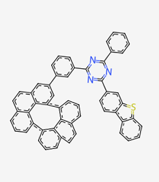 c1ccc(-c2nc(-c3cccc(-c4cc5ccc6cccc7c8cccc9ccc%10cccc(c(c4)c5c67)c%10c98)c3)nc(-c3ccc4c(c3)sc3ccccc34)n2)cc1